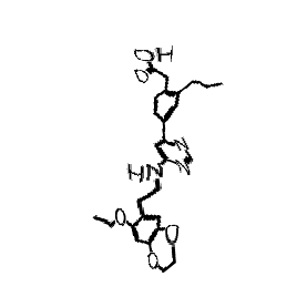 CCCc1cc(-c2cc(NCCc3cc4c(cc3OCC)OCCO4)ncn2)ccc1CC(=O)O